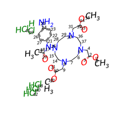 COC(=O)CN1CCN(CC(=O)OC)CCN(N(C(C)=O)c2ccc(N)cc2)CCN(CC(=O)OC)CC1.Cl.Cl.Cl.Cl.Cl